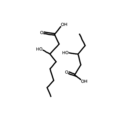 CCC(O)CC(=O)O.CCCCCC(O)CC(=O)O